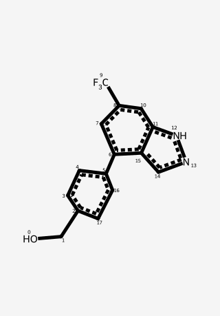 OCc1ccc(-c2cc(C(F)(F)F)cc3[nH]ncc23)cc1